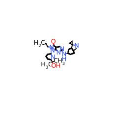 C=CCn1c(=O)c2cnc(Nc3ccc4c(c3)C3(CC3)N=C4)nc2n1-c1cccc(C(C)(C)O)n1